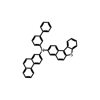 c1ccc(-c2cccc(N(c3ccc4c(ccc5ccccc54)c3)c3ccc4c(ccc5sc6ccccc6c54)c3)c2)cc1